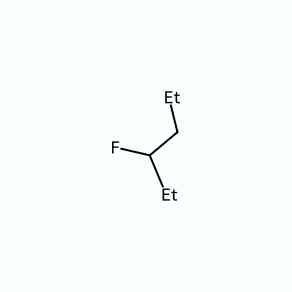 [CH2]CCC(F)C[CH2]